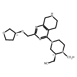 N#CC[C@H]1CN(c2nc(CO[C@H]3CCOC3)nc3c2CCNC3)CCN1C(=O)O